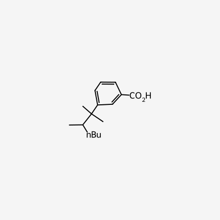 CCCCC(C)C(C)(C)c1cccc(C(=O)O)c1